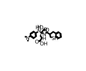 CN(C)c1ccc(N[C@@](CCC(=O)O)(NC(=O)C(CS)Cc2ccccc2)C(=O)O)cc1